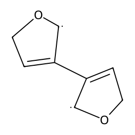 [CH]1OCC=C1C1=CCO[CH]1